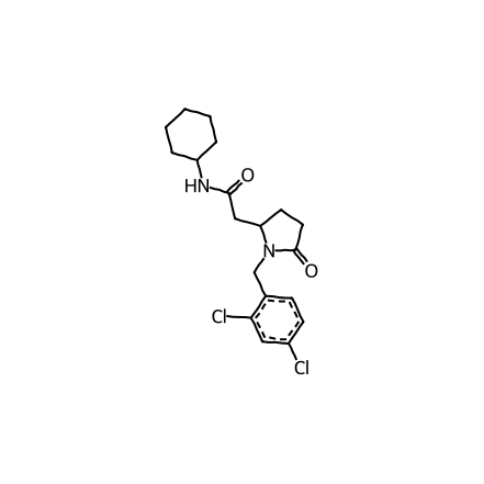 O=C(CC1CCC(=O)N1Cc1ccc(Cl)cc1Cl)NC1CCCCC1